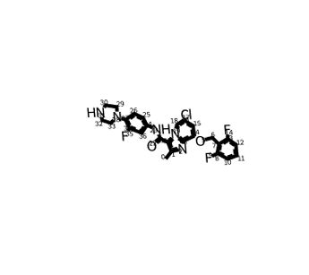 Cc1nc2c(OCc3c(F)cccc3F)cc(Cl)cn2c1C(=O)Nc1ccc(N2CCNCC2)c(F)c1